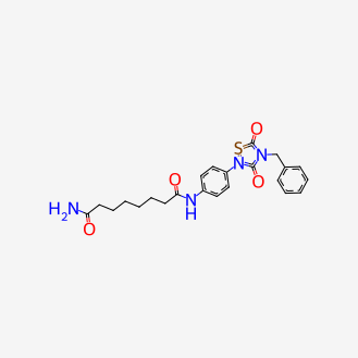 NC(=O)CCCCCCC(=O)Nc1ccc(-n2sc(=O)n(Cc3ccccc3)c2=O)cc1